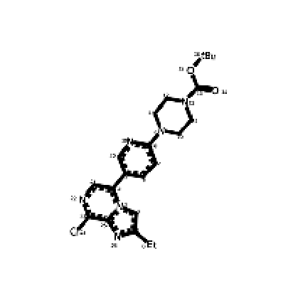 CCc1cn2c(-c3ccc(N4CCN(C(=O)OC(C)(C)C)CC4)nc3)cnc(Cl)c2n1